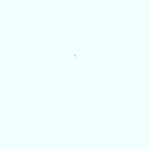 C=CCO[C@]12CCC(=O)[C@@]1(CCCOC)C[C@@H](O)c1occc12